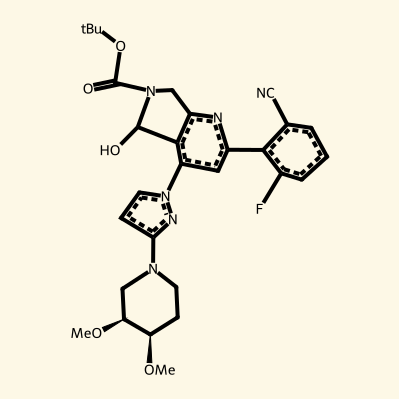 CO[C@H]1CN(c2ccn(-c3cc(-c4c(F)cccc4C#N)nc4c3C(O)N(C(=O)OC(C)(C)C)C4)n2)CC[C@H]1OC